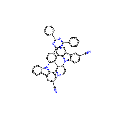 N#Cc1ccc2c(c1)c1ccccc1n2-c1ccncc1-c1cc(-c2nc(-c3ccccc3)nc(-c3ccccc3)n2)ccc1-n1c2ccccc2c2cc(C#N)ccc21